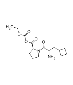 CCOC(=O)OC(=O)[C@@H]1CCCN1C(=O)C(N)CC1CCC1